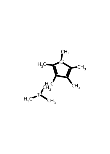 Cc1c(C)c(C)[c-](C)c1C.[CH3][Ti+]([CH3])[CH3]